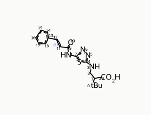 CC(C)(C)C(CNc1nnc(NC(=O)/C=C/c2ccccc2)s1)C(=O)O